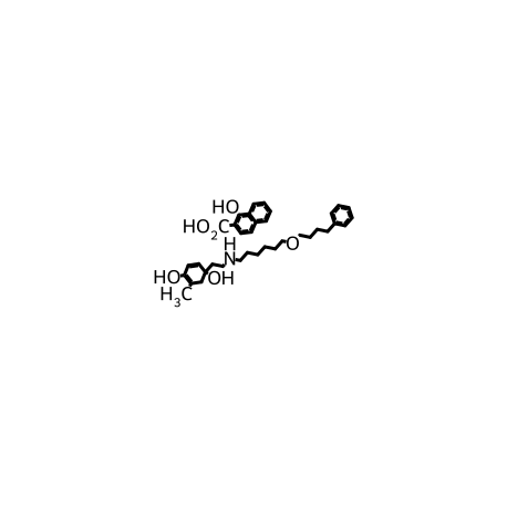 CC1=C(O)C=CC(O)(CCNCCCCCCOCCCCc2ccccc2)C1.O=C(O)c1ccc2ccccc2c1O